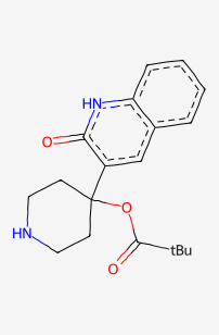 CC(C)(C)C(=O)OC1(c2cc3ccccc3[nH]c2=O)CCNCC1